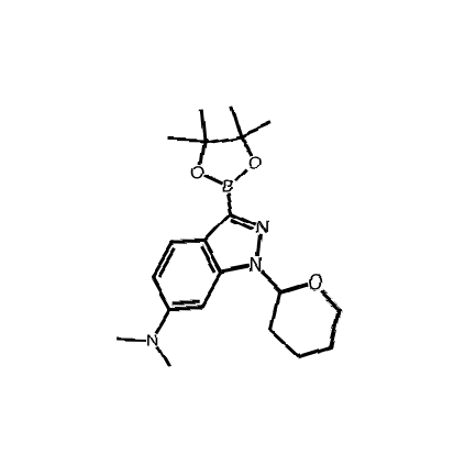 CN(C)c1ccc2c(B3OC(C)(C)C(C)(C)O3)nn(C3CCCCO3)c2c1